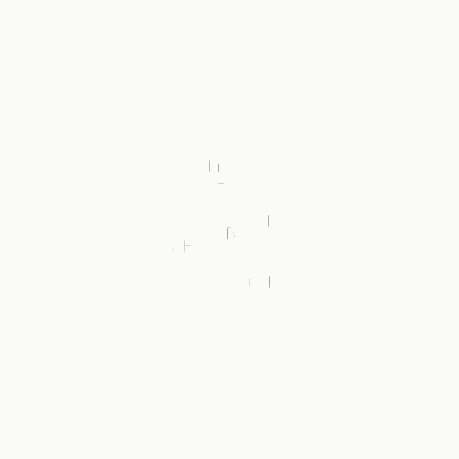 C[B-](F)(F)F.[Li+]